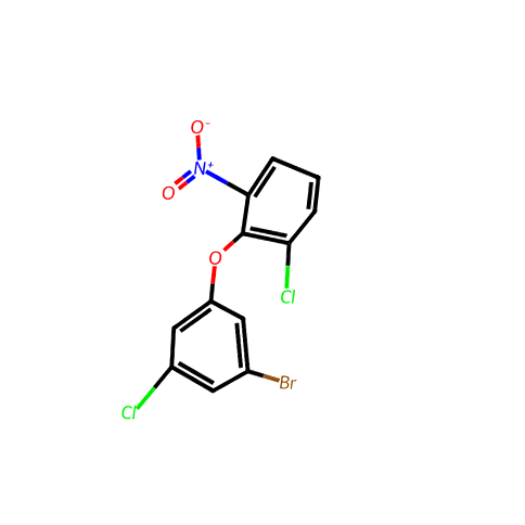 O=[N+]([O-])c1cccc(Cl)c1Oc1cc(Cl)cc(Br)c1